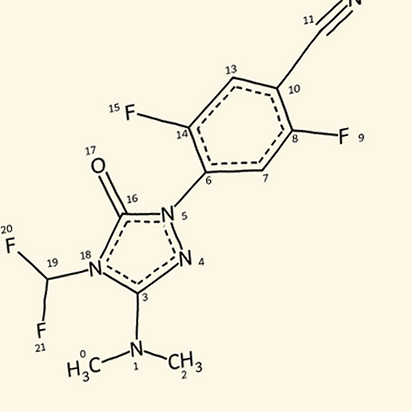 CN(C)c1nn(-c2cc(F)c(C#N)cc2F)c(=O)n1C(F)F